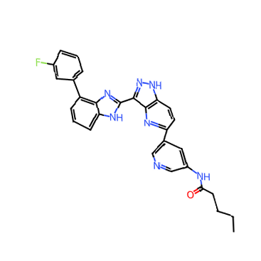 CCCCC(=O)Nc1cncc(-c2ccc3[nH]nc(-c4nc5c(-c6cccc(F)c6)cccc5[nH]4)c3n2)c1